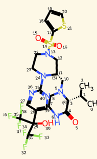 CC(C)[C@@H]1C(=O)NCCN1C[C@H]1CN(S(=O)(=O)c2cccs2)CCN1c1ncc(C(O)(C(F)(F)F)C(F)(F)F)cn1